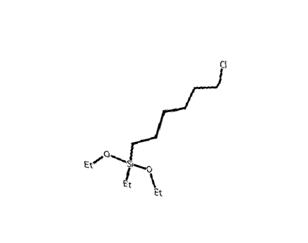 CCO[Si](CC)(CCCCCCCl)OCC